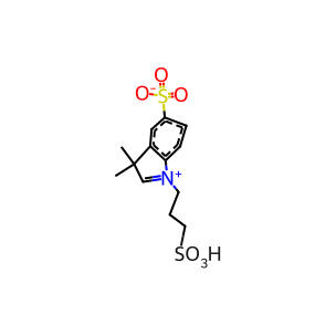 CC1(C)C=[N+](CCCS(=O)(=O)O)c2ccc(S(=O)(=O)[O-])cc21